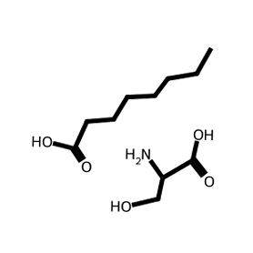 CCCCCCCC(=O)O.NC(CO)C(=O)O